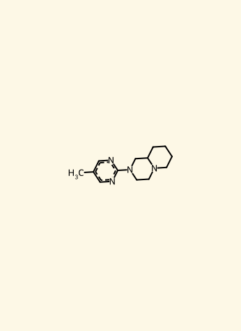 Cc1cnc(N2CCN3CCCCC3C2)nc1